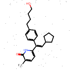 O=c1[nH]c(C(=CC2CCCC2)c2ccc(CCCCO)cc2)ccc1C(F)(F)F